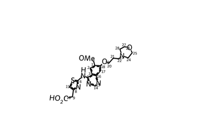 COc1cc2c(Nc3nc(CC(=O)O)cs3)ncnc2cc1OCCCN1CCOCC1